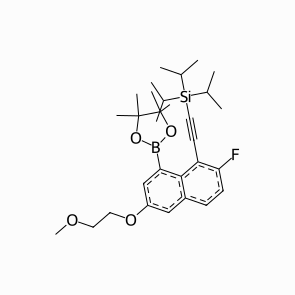 COCCOc1cc(B2OC(C)(C)C(C)(C)O2)c2c(C#C[Si](C(C)C)(C(C)C)C(C)C)c(F)ccc2c1